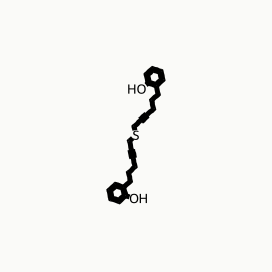 Oc1ccccc1CCCC#CCSCC#CCCCc1ccccc1O